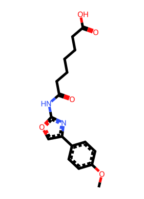 COc1ccc(-c2coc(NC(=O)CCCCCC(=O)O)n2)cc1